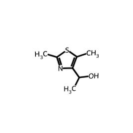 Cc1nc(C(C)O)c(C)s1